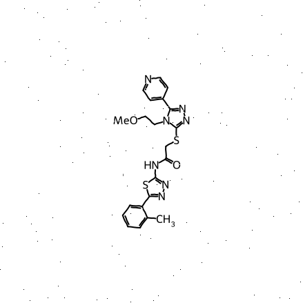 COCCn1c(SCC(=O)Nc2nnc(-c3ccccc3C)s2)nnc1-c1ccncc1